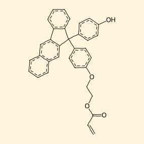 C=CC(=O)OCCOc1ccc(C2(c3ccc(O)cc3)c3ccccc3-c3cc4ccccc4cc32)cc1